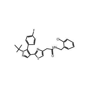 CC(C)(C)n1ncc(-c2nc(CC(=O)NCc3ccccc3Cl)cs2)c1-c1ccc(F)cc1